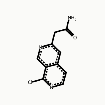 NC(=O)Cc1cc2ccnc(Cl)c2cn1